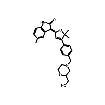 CC1(C)OC(=C2C(=O)Nc3ccc(F)cc32)C=C1c1ccc(CN2CCOC(CO)C2)cc1